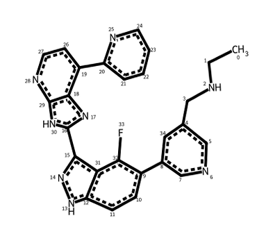 CCNCc1cncc(-c2ccc3[nH]nc(-c4nc5c(-c6ccccn6)ccnc5[nH]4)c3c2F)c1